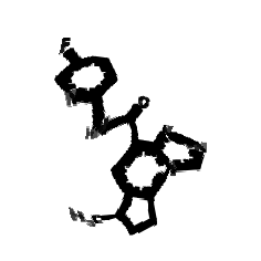 C[C@@H]1CCc2c1cc(C(=O)Nc1ccc(F)cn1)c1nncn21